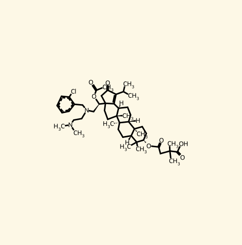 CC(=O)O[C@H](CN(CCN(C)C)Cc1ccccc1Cl)C12CC[C@]3(C)[C@H](CC[C@@H]4[C@@]5(C)CC[C@H](OC(=O)CC(C)(C)C(=O)O)C(C)(C)[C@@H]5CC[C@]43C)C1=C(C(C)C)C(=O)C2